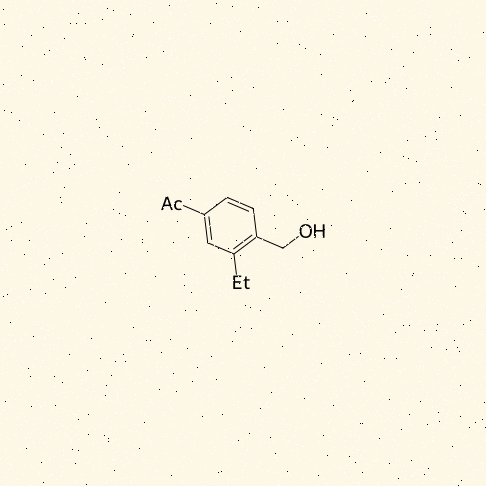 CCc1cc(C(C)=O)ccc1CO